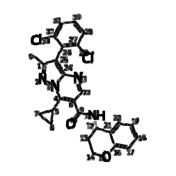 Cc1nn2c(C3CC3)c(C(=O)N[C@H]3CCOc4ccccc43)cnc2c1-c1c(Cl)cccc1Cl